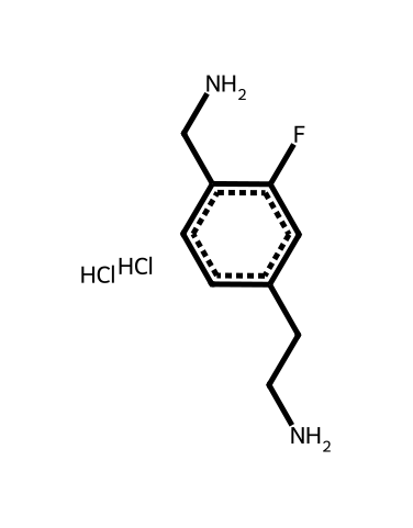 Cl.Cl.NCCc1ccc(CN)c(F)c1